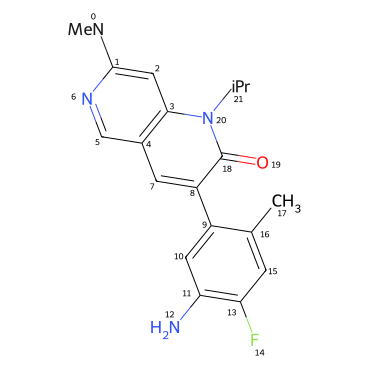 CNc1cc2c(cn1)cc(-c1cc(N)c(F)cc1C)c(=O)n2C(C)C